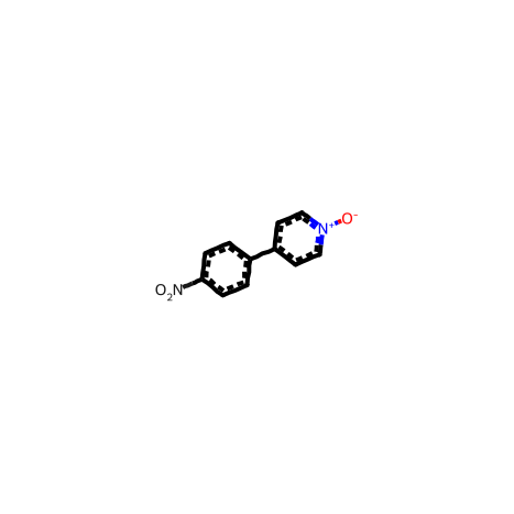 O=[N+]([O-])c1ccc(-c2cc[n+]([O-])cc2)cc1